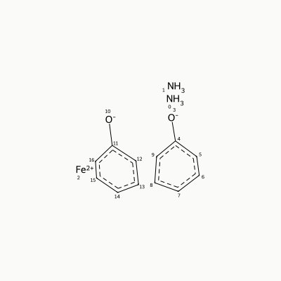 N.N.[Fe+2].[O-]c1ccccc1.[O-]c1ccccc1